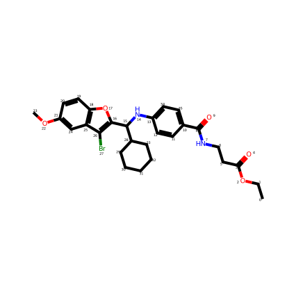 CCOC(=O)CCNC(=O)c1ccc(NC(c2oc3ccc(OC)cc3c2Br)C2CCCCC2)cc1